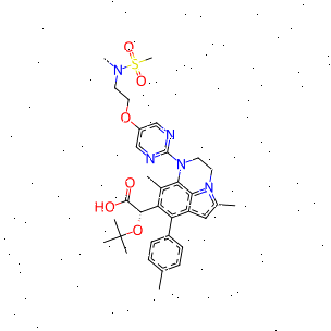 Cc1ccc(-c2c([C@H](OC(C)(C)C)C(=O)O)c(C)c3c4c2cc(C)n4CCN3c2ncc(OCCN(C)S(C)(=O)=O)cn2)cc1